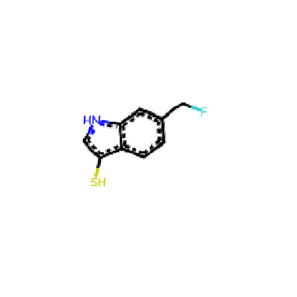 FCc1ccc2c(S)c[nH]c2c1